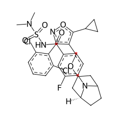 CN(C)S(=O)(=O)NC(=O)c1ccc(N2C3CC[C@H]2CC(OCc2c(-c4c(Cl)cccc4Cl)noc2C2CC2)C3)c(F)c1